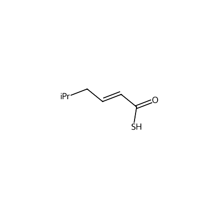 CC(C)CC=CC(=O)S